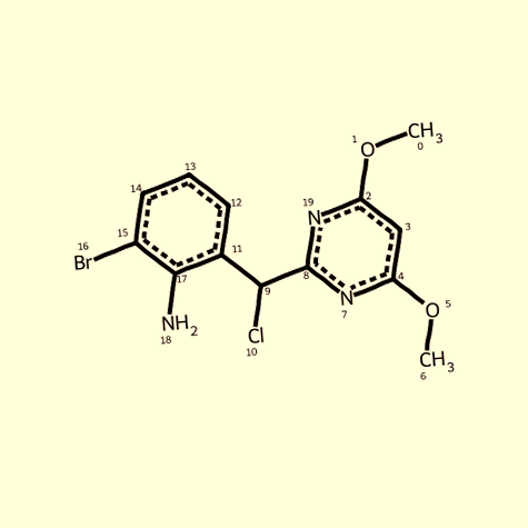 COc1cc(OC)nc(C(Cl)c2cccc(Br)c2N)n1